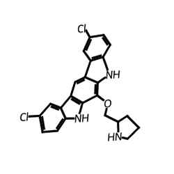 Clc1ccc2[nH]c3c(OCC4CCCN4)c4[nH]c5ccc(Cl)cc5c4cc3c2c1